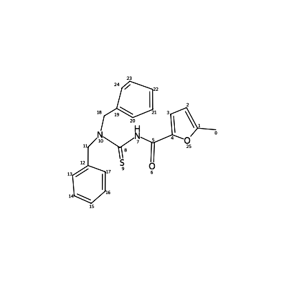 Cc1ccc(C(=O)NC(=S)N(Cc2ccccc2)Cc2ccccc2)o1